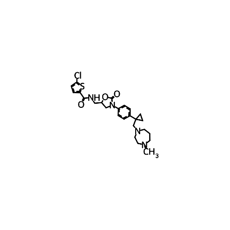 CN1CCCN(CC2(c3ccc(N4CC(CNC(=O)c5ccc(Cl)s5)OC4=O)cc3)CC2)CC1